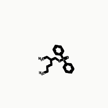 CCCCC(CC)COP(=O)(c1ccccc1)c1ccccc1